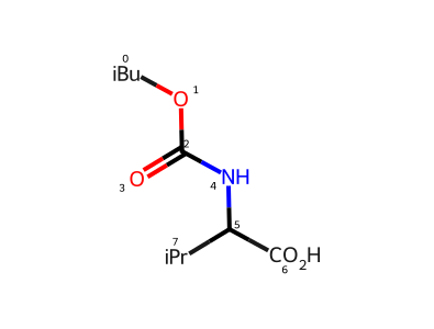 CCC(C)OC(=O)NC(C(=O)O)C(C)C